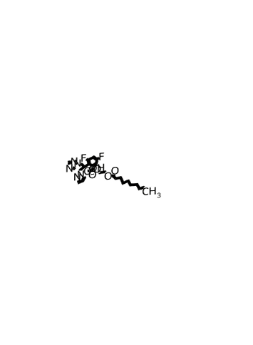 CCCCCCCCCC(=O)OCCOP(=O)(O)OC(Cn1cccn1)(Cn1cncn1)c1ccc(F)cc1F